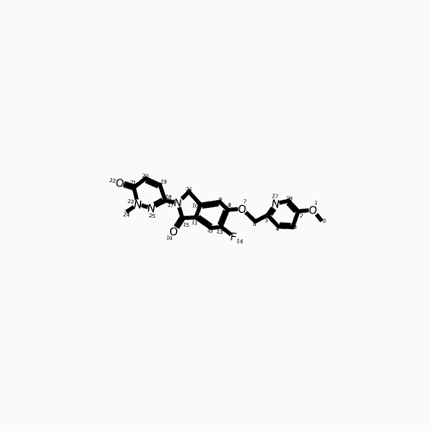 COc1ccc(COc2cc3c(cc2F)C(=O)N(c2ccc(=O)n(C)n2)C3)nc1